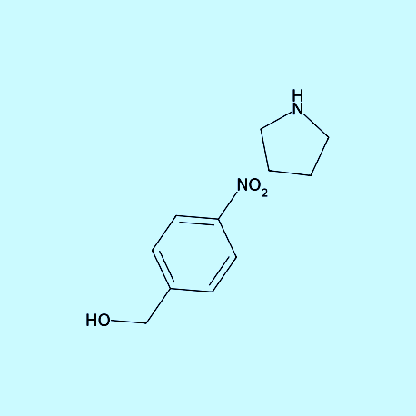 C1CCNC1.O=[N+]([O-])c1ccc(CO)cc1